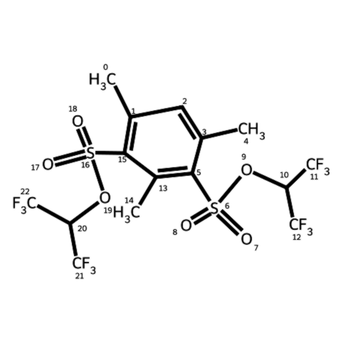 Cc1cc(C)c(S(=O)(=O)OC(C(F)(F)F)C(F)(F)F)c(C)c1S(=O)(=O)OC(C(F)(F)F)C(F)(F)F